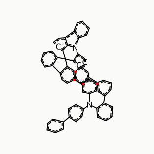 c1ccc(-c2ccc(N(c3cccc(-c4ccc5c(c4)C4(c6ccccc6-5)c5ccccc5-n5c6ccccc6c6cccc4c65)c3)c3ccccc3-c3cccc(-c4ccccc4)c3)cc2)cc1